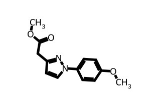 COC(=O)Cc1ccn(-c2ccc(OC)cc2)n1